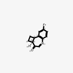 O=C1C=Nc2ccc(F)cc2C2CC[C@H]12